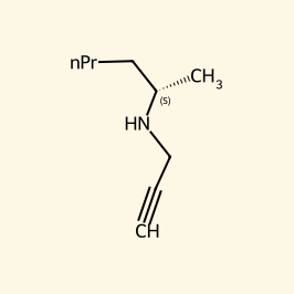 C#CCN[C@@H](C)CCCC